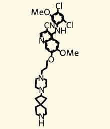 COc1cc(Nc2c(C#N)cnc3cc(OCCCN4CCN(C5CC6(CCNCC6)C5)CC4)c(OC)cc23)c(Cl)cc1Cl